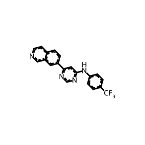 FC(F)(F)c1ccc(Nc2cc(-c3ccc4ccncc4c3)ncn2)cc1